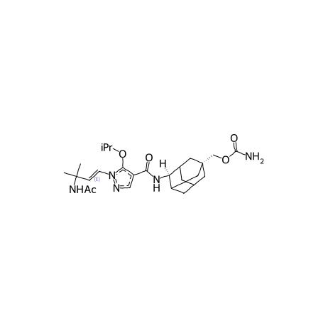 CC(=O)NC(C)(C)/C=C/n1ncc(C(=O)N[C@H]2C3CC4CC2C[C@](COC(N)=O)(C4)C3)c1OC(C)C